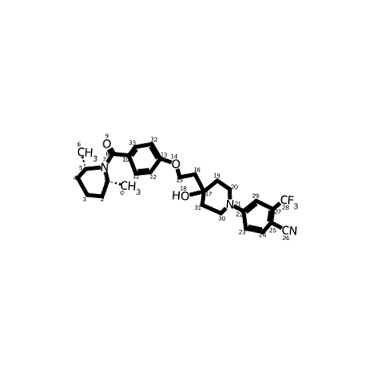 C[C@@H]1CCC[C@H](C)N1C(=O)c1ccc(OCCC2(O)CCN(c3ccc(C#N)c(C(F)(F)F)c3)CC2)cc1